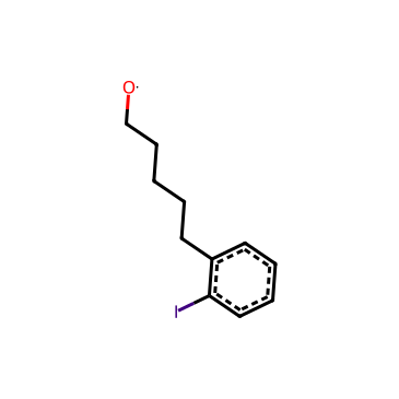 [O]CCCCCc1ccccc1I